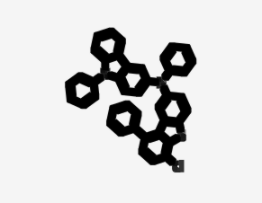 Clc1ccc(-c2ccccc2)c2c1sc1ccc(N(c3ccccc3)c3ccc4c(c3)c3ccccc3n4-c3ccccc3)cc12